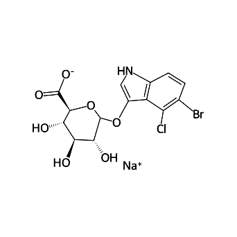 O=C([O-])[C@H]1OC(Oc2c[nH]c3ccc(Br)c(Cl)c23)[C@H](O)[C@@H](O)[C@@H]1O.[Na+]